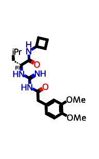 COc1ccc(CC(=O)NC(=N)N[C@H](CC(C)C)C(=O)NC2CCC2)cc1OC